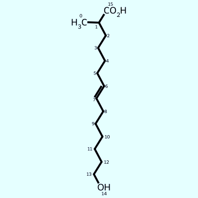 CC(CCCC/C=C/CCCCCCO)C(=O)O